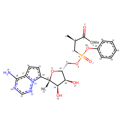 COC(=O)[C@H](C)CP(=O)(OC[C@H]1O[C@@](C#N)(c2ccc3c(N)ncnn23)[C@H](O)[C@@H]1O)Oc1ccccc1